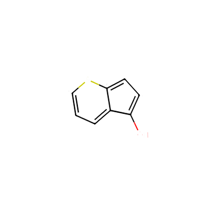 Oc1ccc2scccc1-2